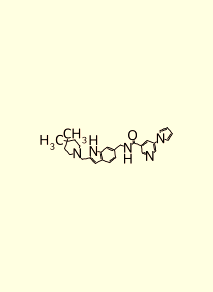 CC1(C)CCN(Cc2cc3ccc(CNC(=O)c4cncc(-n5cccc5)c4)cc3[nH]2)CC1